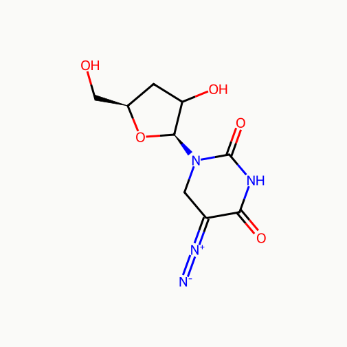 [N-]=[N+]=C1CN([C@H]2O[C@@H](CO)CC2O)C(=O)NC1=O